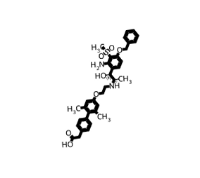 Cc1cc(OCCN[C@@H](C)[C@H](O)c2ccc(OCc3ccccc3)c(S(C)(=O)=O)c2N)cc(C)c1-c1ccc(CC(=O)O)cc1